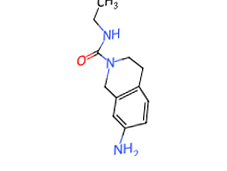 CCNC(=O)N1CCc2ccc(N)cc2C1